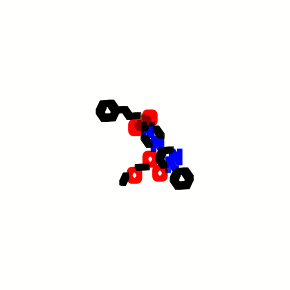 CCOCCOc1c(N2CCN(S(=O)(=O)CCCc3ccccc3)CC2)cnn(-c2ccccc2)c1=O